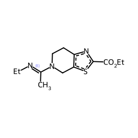 CC/N=C(\C)N1CCc2nc(C(=O)OCC)sc2C1